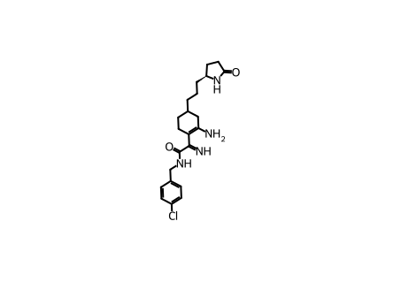 N=C(C(=O)NCc1ccc(Cl)cc1)C1=C(N)CC(CCC[C@H]2CCC(=O)N2)CC1